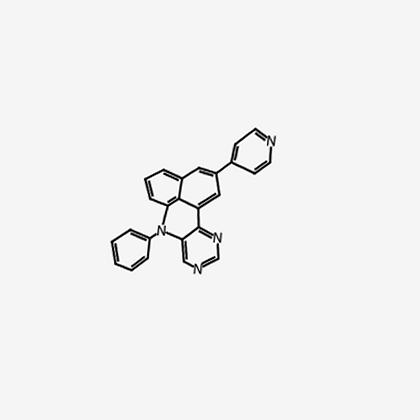 c1ccc(N2c3cncnc3-c3cc(-c4ccncc4)cc4cccc2c34)cc1